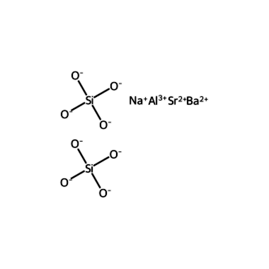 [Al+3].[Ba+2].[Na+].[O-][Si]([O-])([O-])[O-].[O-][Si]([O-])([O-])[O-].[Sr+2]